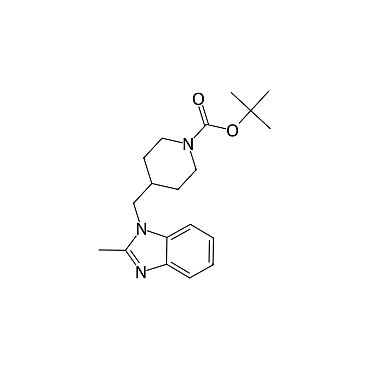 Cc1nc2ccccc2n1CC1CCN(C(=O)OC(C)(C)C)CC1